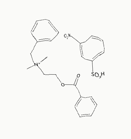 C[N+](C)(CCOC(=O)c1ccccc1)Cc1ccccc1.O=[N+]([O-])c1cccc(S(=O)(=O)O)c1